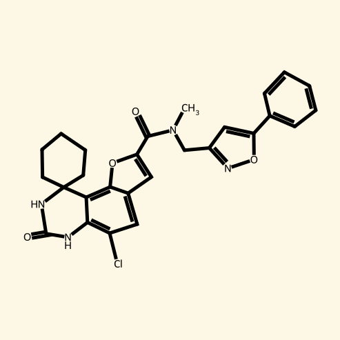 CN(Cc1cc(-c2ccccc2)on1)C(=O)c1cc2cc(Cl)c3c(c2o1)C1(CCCCC1)NC(=O)N3